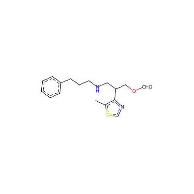 Cc1scnc1C(CNCCCc1ccccc1)COC=O